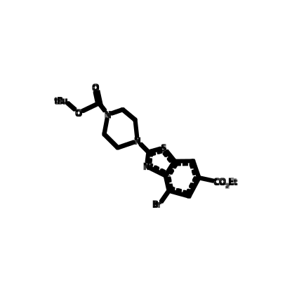 CCOC(=O)c1cc(Br)c2nc(N3CCN(C(=O)OC(C)(C)C)CC3)sc2c1